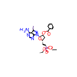 CCOP(=O)(/C=C/[C@@H]1C[C@@H](OC(=O)c2ccccc2)[C@H](n2nc(I)c3c(N)ncnc32)O1)OCC